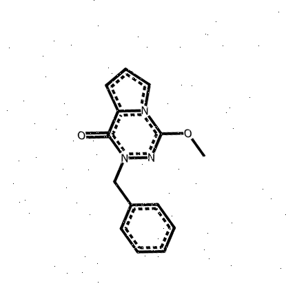 COc1nn(Cc2ccccc2)c(=O)c2cccn12